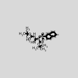 CC(C)(C)OC(=O)NC(=N)N(OS(=O)(=O)c1ccc2ccccc2c1)C(=O)OC(C)(C)C